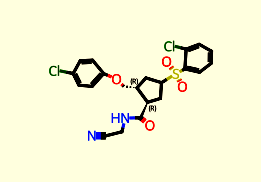 N#CCNC(=O)[C@@H]1CC(S(=O)(=O)c2ccccc2Cl)C[C@H]1COc1ccc(Cl)cc1